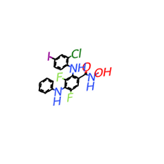 O=C(NO)c1cc(F)c(Nc2ccccc2)c(F)c1Nc1ccc(I)cc1Cl